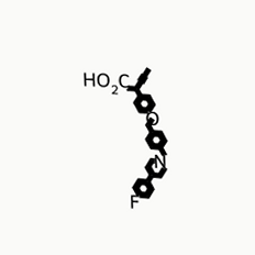 CC#CC(CC(=O)O)c1ccc(OCc2ccc(CN3CC=C(c4ccc(F)cc4)CC3)cc2)cc1